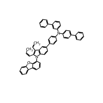 C=Cc1c(/C=C\C)n(-c2cccc3c2oc2ccccc23)c2ccc(-c3ccc(N(c4ccc(-c5ccccc5)cc4)c4cccc(-c5ccccc5)c4)cc3)cc12